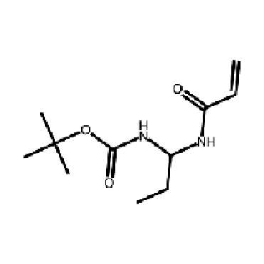 C=CC(=O)NC(CC)NC(=O)OC(C)(C)C